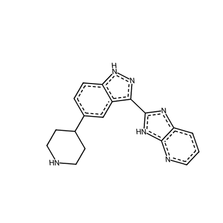 c1cnc2[nH]c(-c3n[nH]c4ccc(C5CCNCC5)cc34)nc2c1